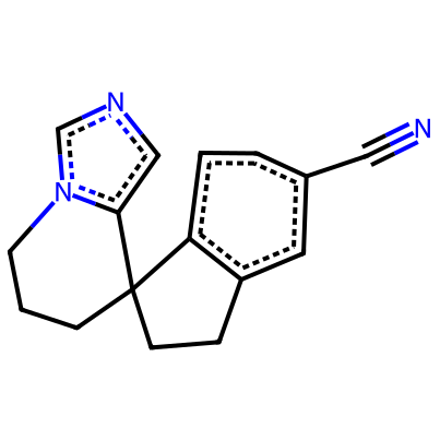 N#Cc1ccc2c(c1)CCC21CCCn2cncc21